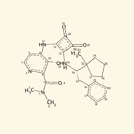 CN(C)C(=O)c1nccc(Nc2c(N[C@@H](Cc3ccccc3)C3(C)CCCC3)c(=O)c2=O)c1O